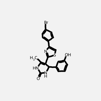 CC1=C(c2nc(-c3ccc(Br)cc3)cs2)C(c2cccc(O)c2)NC(=O)N1